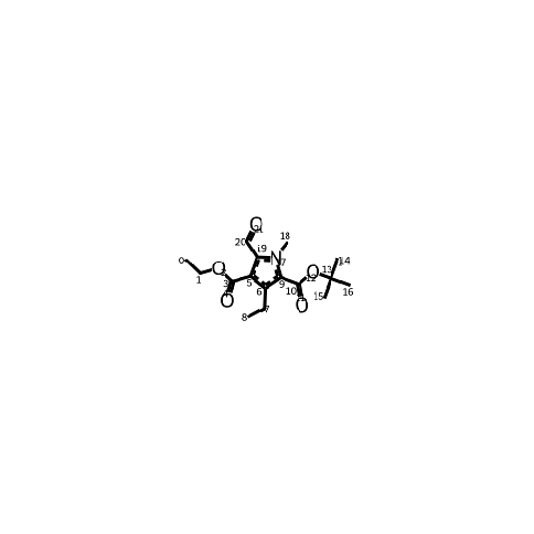 CCOC(=O)c1c(CC)c(C(=O)OC(C)(C)C)n(C)c1C=O